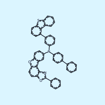 c1ccc(-c2ccc(N(c3cccc(-c4cccc5sc6ccccc6c45)c3)c3ccc4oc5ccc6oc(-c7ccccc7)nc6c5c4c3)cc2)cc1